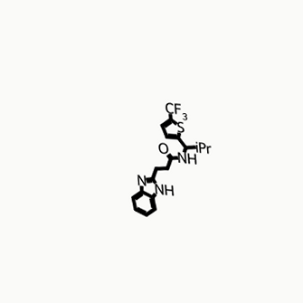 CC(C)C(NC(=O)CCc1nc2ccccc2[nH]1)c1ccc(C(F)(F)F)s1